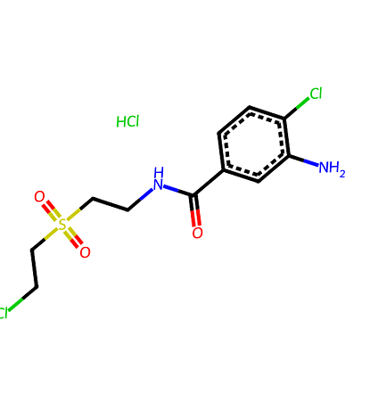 Cl.Nc1cc(C(=O)NCCS(=O)(=O)CCCl)ccc1Cl